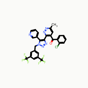 Cc1cc(C(=O)c2ccccc2Cl)c(-c2nnn(Cc3cc(C(F)(F)F)cc(C(F)(F)F)c3)c2-c2cccnc2)nn1